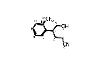 N#CCCC(CO)c1ccccc1C(F)(F)F